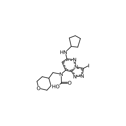 O=C(O)N(CC1CCOCC1)c1cc(NC2CCCC2)nn2c(I)nnc12